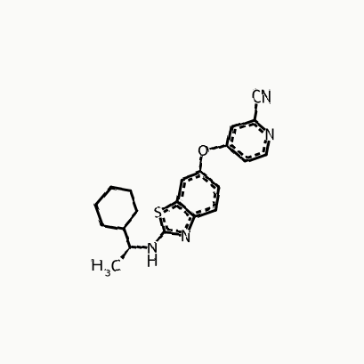 C[C@H](Nc1nc2ccc(Oc3ccnc(C#N)c3)cc2s1)C1CCCCC1